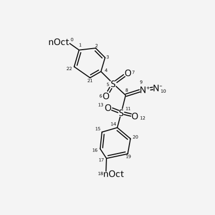 CCCCCCCCc1ccc(S(=O)(=O)C(=[N+]=[N-])S(=O)(=O)c2ccc(CCCCCCCC)cc2)cc1